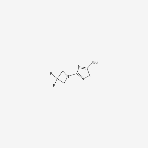 CC(C)(C)c1nc(N2CC(F)(F)C2)ns1